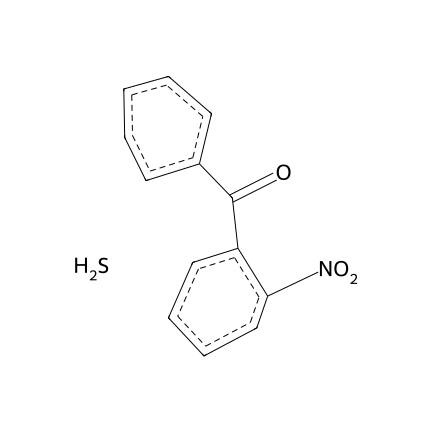 O=C(c1ccccc1)c1ccccc1[N+](=O)[O-].S